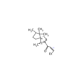 CC/C=C\C(=O)N1SC[C@@]2(CCC(C)C2(C)C)[C@@H]1C